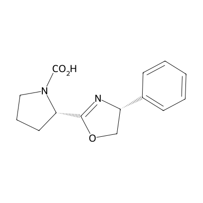 O=C(O)N1CCC[C@H]1C1=N[C@H](c2ccccc2)CO1